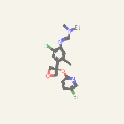 CCN(C)C=Nc1cc(C)c(C2(Oc3ccc(Br)cn3)COC2)cc1Cl